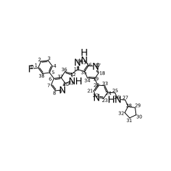 Fc1cccc(-c2ccnc3[nH]c(-c4n[nH]c5ncc(-c6cncc(CNCC7CCCC7)c6)cc45)cc23)c1